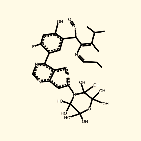 CC/C=N\C(=C(/C)C(C)C)C(N=O)c1cc(-c2ncnc3cc(N4C(O)(O)C(O)(O)OC(O)(O)C4(O)O)ccc23)c(F)cc1O